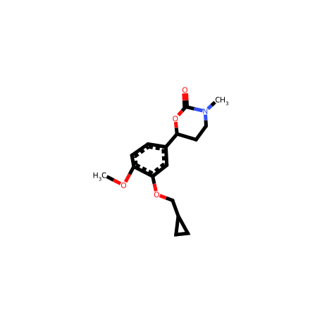 COc1ccc(C2CCN(C)C(=O)O2)cc1OCC1CC1